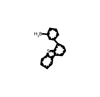 Bc1cccc(-c2cccc3c2sc2ccccc23)c1